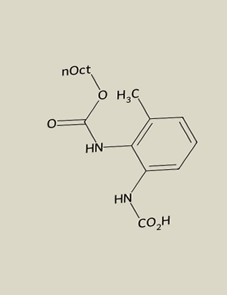 CCCCCCCCOC(=O)Nc1c(C)cccc1NC(=O)O